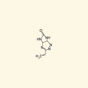 C=CC1=NC2NC(=O)NC2N=N1